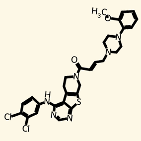 COc1ccccc1N1CCN(CC=CC(=O)N2CCc3c(sc4ncnc(Nc5ccc(Cl)c(Cl)c5)c34)C2)CC1